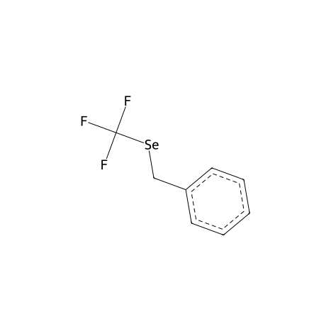 FC(F)(F)[Se]Cc1ccccc1